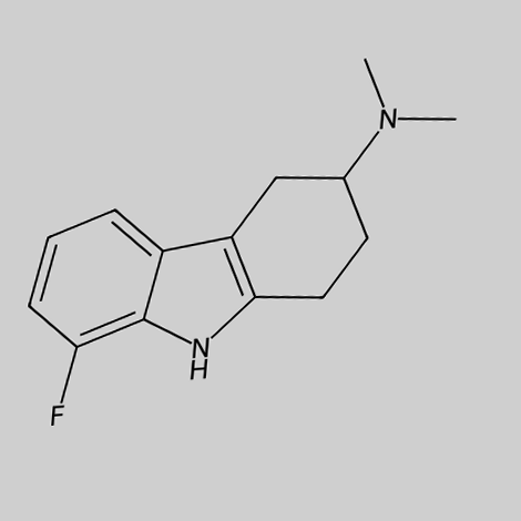 CN(C)C1CCc2[nH]c3c(F)cccc3c2C1